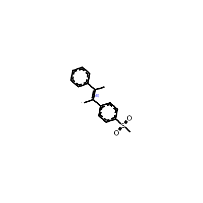 [CH2]/C(=C(/C)c1ccccc1)c1ccc(S(C)(=O)=O)cc1